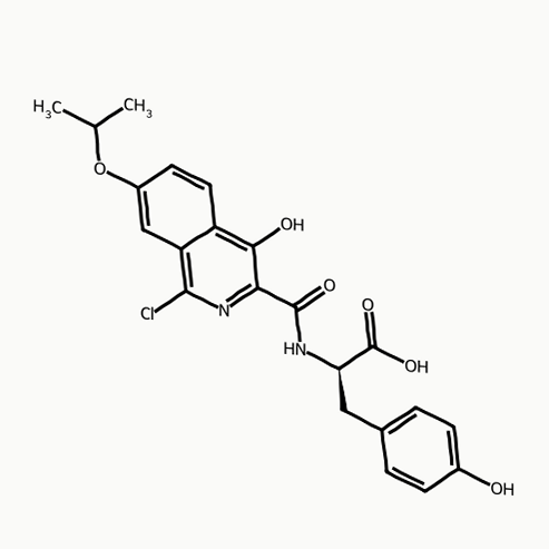 CC(C)Oc1ccc2c(O)c(C(=O)N[C@H](Cc3ccc(O)cc3)C(=O)O)nc(Cl)c2c1